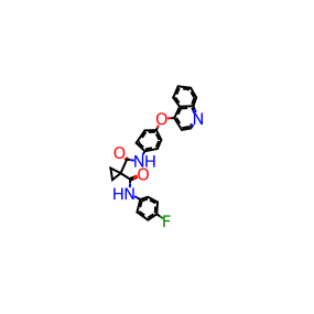 O=C(Nc1ccc(F)cc1)C1(C(=O)Nc2ccc(Oc3ccnc4ccccc34)cc2)CC1